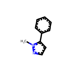 Cn1n[c]cc1-c1ccccc1